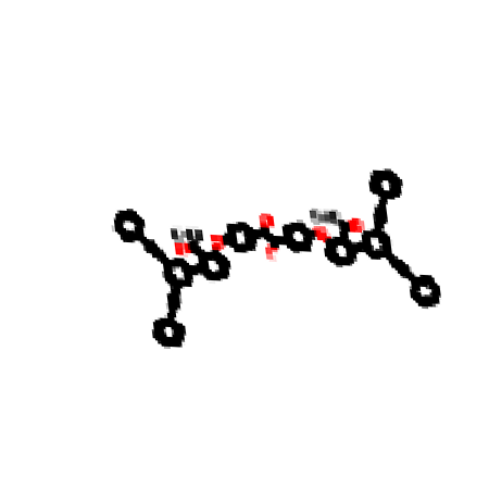 O=CC(=O)c1c(Oc2ccc(C(=O)C(=O)c3ccc(Oc4cccc(-c5cc(C#Cc6ccccc6)cc(C#Cc6ccccc6)c5)c4C(=O)C=O)cc3)cc2)cccc1-c1cc(C#Cc2ccccc2)cc(C#Cc2ccccc2)c1